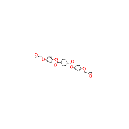 O=C(Oc1ccc(OCC2CO2)cc1)C1CCC(C(=O)Oc2ccc(OCC3CO3)cc2)CC1